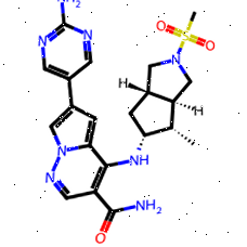 C[C@H]1[C@@H]2CN(S(C)(=O)=O)C[C@H]2C[C@H]1Nc1c(C(N)=O)cnn2cc(-c3cnc(N)nc3)cc12